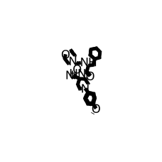 COc1ccc(N2CCC(C#N)(NC(=O)C(CC3CCCCC3)NC(=O)N3CCOCC3)CC2)cc1